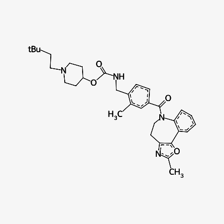 Cc1nc2c(o1)-c1ccccc1N(C(=O)c1ccc(CNC(=O)OC3CCN(CCC(C)(C)C)CC3)c(C)c1)CC2